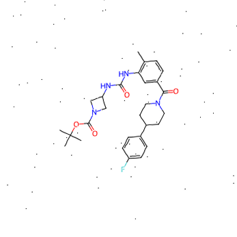 Cc1ccc(C(=O)N2CCC(c3ccc(F)cc3)CC2)cc1NC(=O)NC1CN(C(=O)OC(C)(C)C)C1